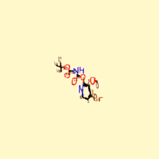 COc1c(Br)ccnc1OC(=O)NC(=O)OC(C)(C)C